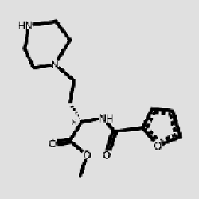 COC(=O)[C@H](CCN1CCNCC1)NC(=O)c1ccco1